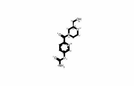 NC(=O)Oc1ccc(C(=O)N2CCO[C@H](CO)C2)nc1